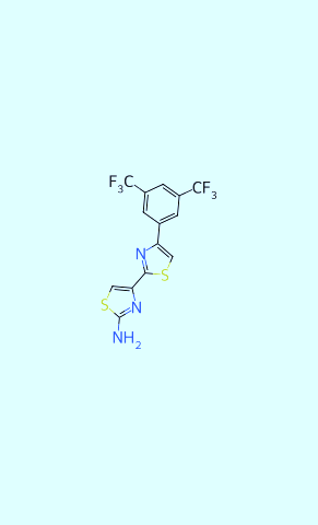 Nc1nc(-c2nc(-c3cc(C(F)(F)F)cc(C(F)(F)F)c3)cs2)cs1